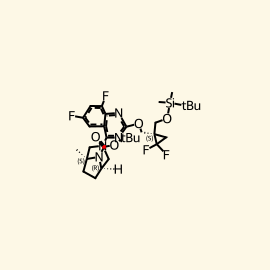 CC(C)(C)OC(=O)N1[C@@H]2CC[C@@]1(C)CN(c1nc(OC[C@]3(CO[Si](C)(C)C(C)(C)C)CC3(F)F)nc3c(F)cc(F)cc13)C2